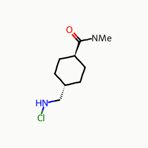 CNC(=O)[C@H]1CC[C@H](CNCl)CC1